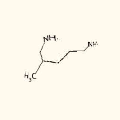 CC(C[NH])CCC[NH]